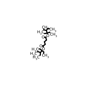 CCC(CC)C(CC)(CC)OC(=O)CCCC(=O)OC(CC)(CC)C(CC)CC